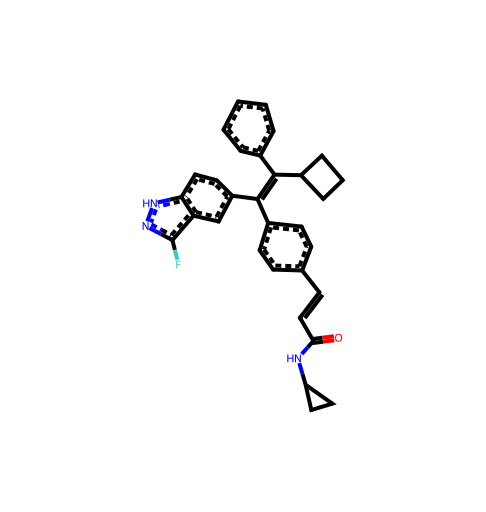 O=C(C=Cc1ccc(C(=C(c2ccccc2)C2CCC2)c2ccc3[nH]nc(F)c3c2)cc1)NC1CC1